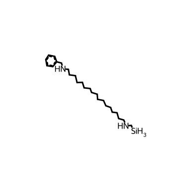 [SiH3]CNCCCCCCCCCCCCCCCCCNCc1ccccc1